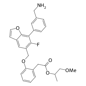 COCC(C)OC(=O)Cc1ccccc1OCc1cc2ccoc2c(-c2cccc(CN)c2)c1F